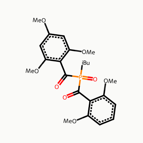 CCC(C)P(=O)(C(=O)c1c(OC)cccc1OC)C(=O)c1c(OC)cc(OC)cc1OC